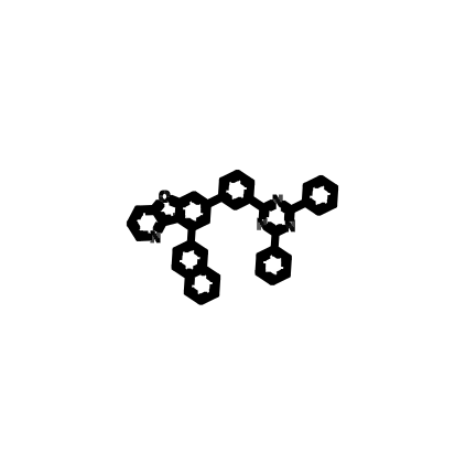 c1ccc(-c2nc(-c3ccccc3)nc(-c3cccc(-c4cc(-c5ccc6ccccc6c5)c5c(c4)oc4cccnc45)c3)n2)cc1